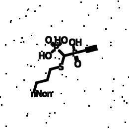 C#CP(=O)(O)C(SCCCCCCCCCCCC)P(=O)(O)O